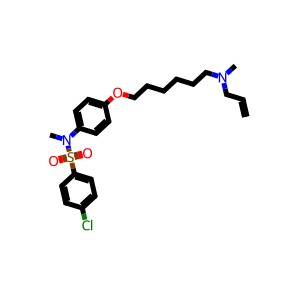 C=CCN(C)CCCCCCOc1ccc(N(C)S(=O)(=O)c2ccc(Cl)cc2)cc1